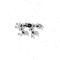 CC(OC(=O)OCC(C)(C)C)[C@H](C)OC(=O)[C@@H](N)Cc1ccc(OC(=O)OCC(C)(C)C)c(OC(=O)OCC(C)(C)C)c1